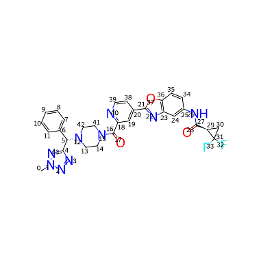 Cn1nnc([C@H](c2ccccc2)N2CCN(C(=O)c3cc(-c4nc5cc(NC(=O)[C@H]6CC6(F)F)ccc5o4)ccn3)CC2)n1